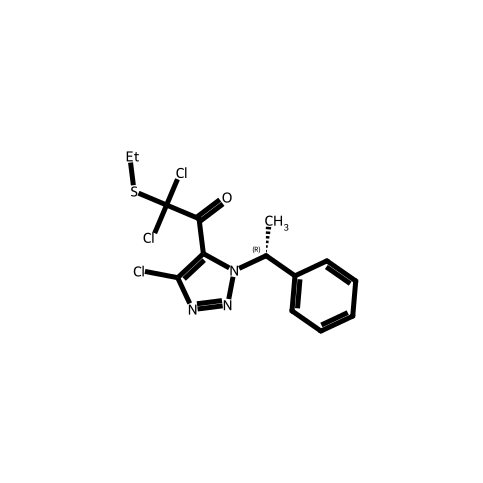 CCSC(Cl)(Cl)C(=O)c1c(Cl)nnn1[C@H](C)c1ccccc1